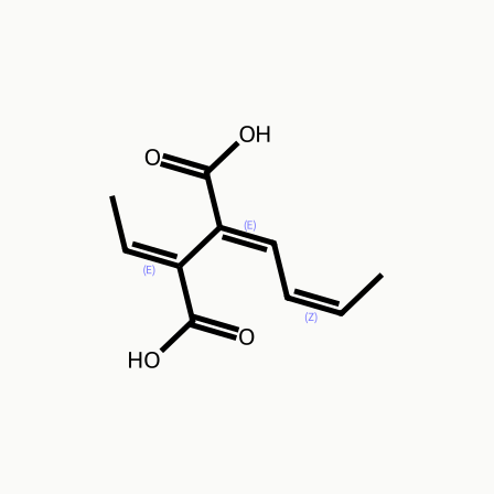 C\C=C/C=C(C(=O)O)\C(=C/C)C(=O)O